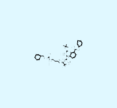 CC(C)(C)OC(=O)NN(C(=O)N[C@@H](CCCCNC(=O)OCc1ccccc1)C(=O)O)c1cccc(C(=O)Oc2ccccc2)c1